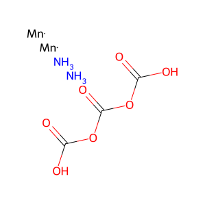 N.N.O=C(O)OC(=O)OC(=O)O.[Mn].[Mn]